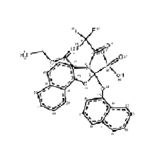 CCOC(=O)CN(C(=O)C(F)(F)F)C(Oc1cccc2ccccc12)(Oc1cccc2ccccc12)P(=O)(O)O